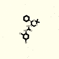 CC1(C)OC[C@H](NC(=O)Nc2ccc(Br)cc2Cl)[C@@H](c2ccccc2)O1